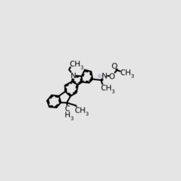 CCn1c2ccc(/C(C)=N/OC(C)=O)cc2c2cc3c(cc21)-c1ccccc1C3(C)CC